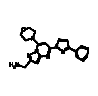 NCc1cc2nc(-n3ccc(-c4ccccc4)n3)cc(N3CCOCC3)n2n1